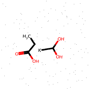 CCC(=O)O.O[CH](O)[K]